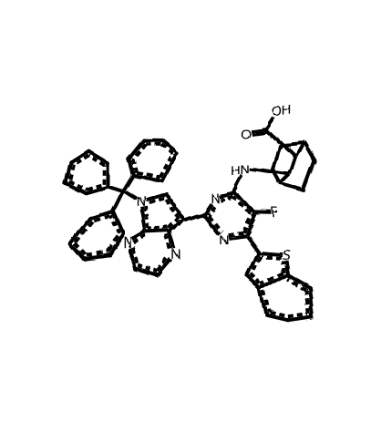 O=C(O)C1C2CCC(CC2)C1Nc1nc(-c2cn(C(c3ccccc3)(c3ccccc3)c3ccccc3)c3nccnc23)nc(-c2cc3ccccc3s2)c1F